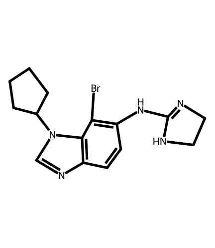 Brc1c(NC2=NCCN2)ccc2ncn(C3CCCC3)c12